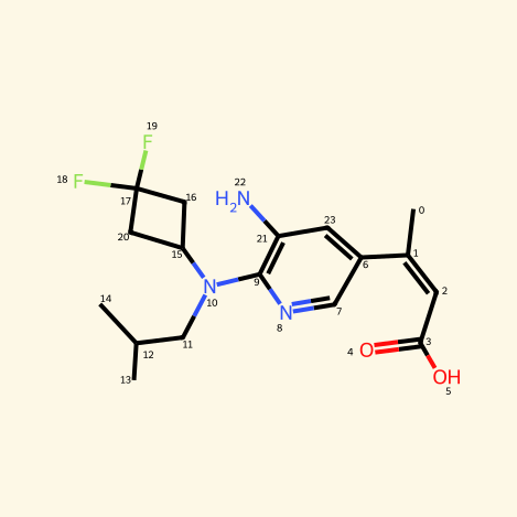 C/C(=C/C(=O)O)c1cnc(N(CC(C)C)C2CC(F)(F)C2)c(N)c1